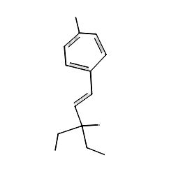 CCCCCCCCc1ccc(/C=C/C(N)(CO)CO)cc1